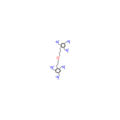 CN(C)Cc1cc(CN(C)C)c(CCCCOCCCCc2c(CN(C)C)cc(CN(C)C)cc2CN(C)C)c(CN(C)C)c1